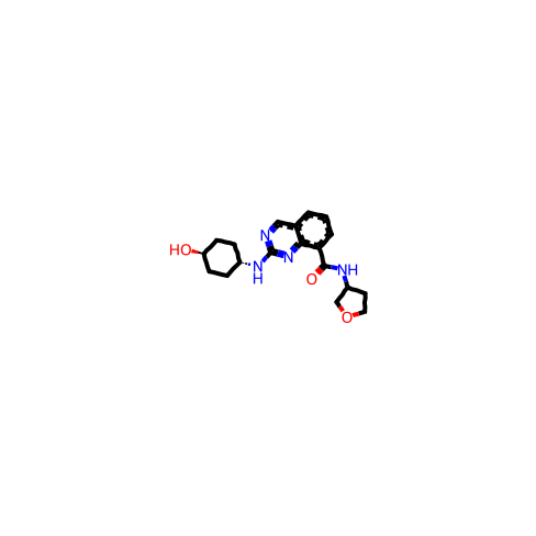 O=C(NC1CCOC1)c1cccc2cnc(N[C@H]3CC[C@H](O)CC3)nc12